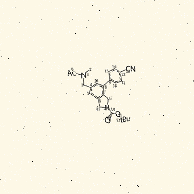 CC(=O)N(C)Cc1cc2c(c(-c3ccc(C#N)cc3)c1)CN(C(=O)OC(C)(C)C)C2